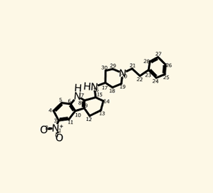 O=[N+]([O-])c1ccc2[nH]c3c(c2c1)CCCC3NC1CCN(CCc2ccccc2)CC1